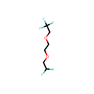 FC(F)COCCOCC(F)(F)F